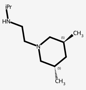 CC(C)NCCN1C[C@@H](C)C[C@H](C)C1